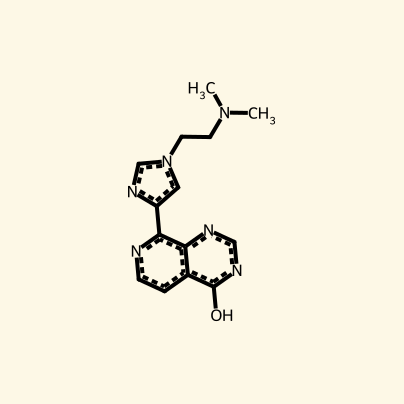 CN(C)CCn1cnc(-c2nccc3c(O)ncnc23)c1